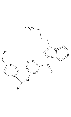 CCOC(=O)CCCn1cc(C(=O)c2cccc(NC(CC)c3ccc(CC(C)C)cc3)c2)c2ccccc21